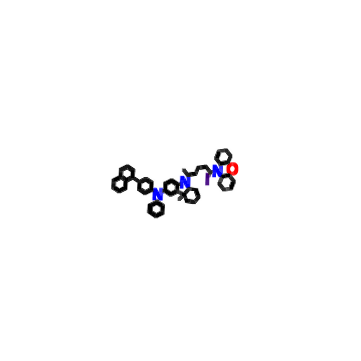 C/C(=C\C=C/C(I)N1C2=C(CCC=C2)OC2=C1CCC=C2)N1c2ccc(N(c3c#cccc3)c3ccc(-c4cccc5ccccc45)cc3)cc2C2(C)C=CC=CC12